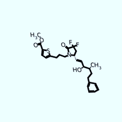 COC(=O)c1ccc(CCCN2C(=O)C(F)(F)C[C@@H]2C=C[C@H](O)[C@H](C)CCc2ccccc2)s1